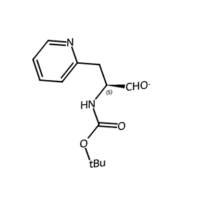 CC(C)(C)OC(=O)N[C@H]([C]=O)Cc1ccccn1